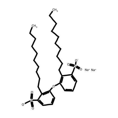 CCCCCCCCCCc1c(Oc2cccc(S(=O)(=O)[O-])c2CCCCCCCCCC)cccc1S(=O)(=O)[O-].[Na+].[Na+]